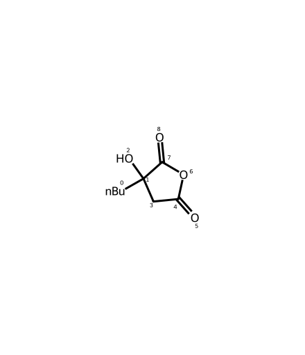 CCCCC1(O)CC(=O)OC1=O